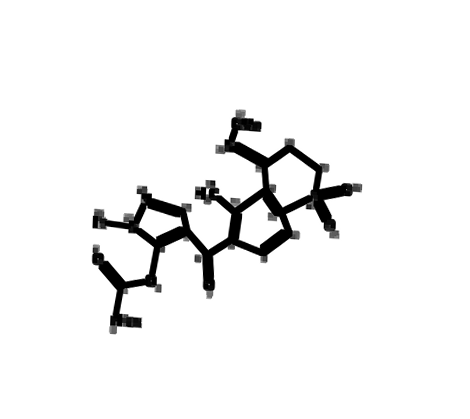 CCCCCCC(=O)Oc1c(C(=O)c2ccc3c(c2C)C(=NOC)CCS3(=O)=O)cnn1CC